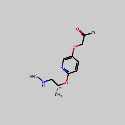 CCC(=O)COc1ccc(O[C@H](C)CNSC)nc1